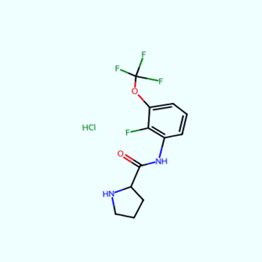 Cl.O=C(Nc1cccc(OC(F)(F)F)c1F)C1CCCN1